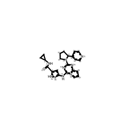 O=C(NC1CC1)c1cc(Nc2nc(N3CCCC3c3ccncc3)nc3cccn23)n[nH]1